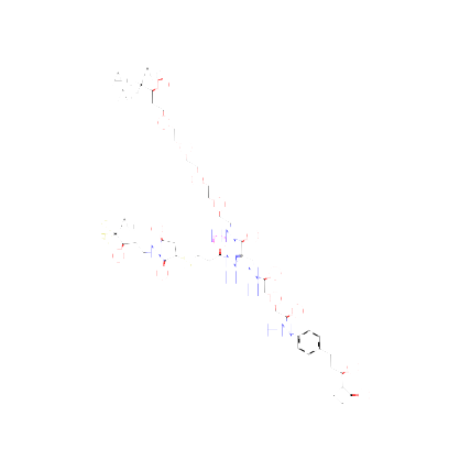 CC(=O)C1(C(=O)CCN2C(=O)CC(SCCC(=O)N[C@H](CNC(=O)COCC(=O)Nc3ccc(CCC(=O)C4CCC4=O)cc3)C(=O)NCCOCCOCCOCCOCCC(=O)C(C(C)=O)(C(C)=O)C(C)=O)C2=O)SS1